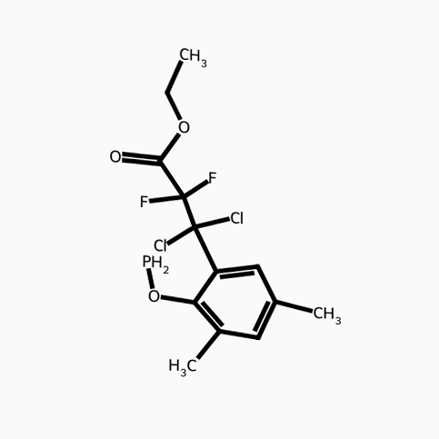 CCOC(=O)C(F)(F)C(Cl)(Cl)c1cc(C)cc(C)c1OP